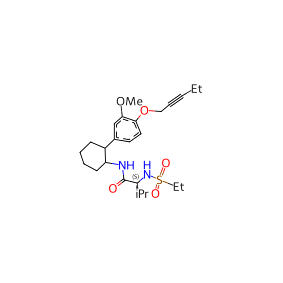 CCC#CCOc1ccc(C2CCCCC2NC(=O)[C@@H](NS(=O)(=O)CC)C(C)C)cc1OC